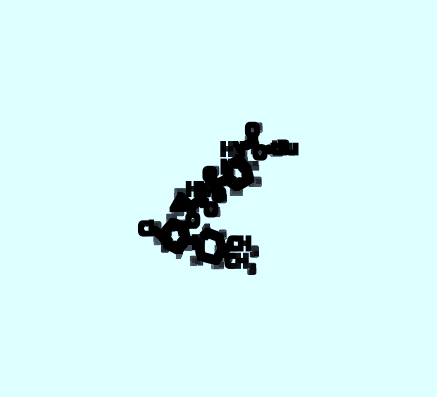 CC1(C)CCN(c2ccc(Cl)cc2OC2(C(=O)NS(=O)(=O)c3cccc(NC(=O)OC(C)(C)C)n3)CC2)CC1